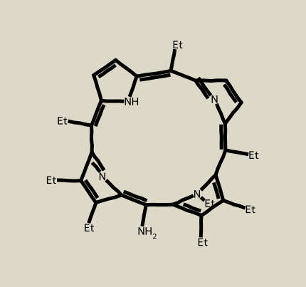 CCC1=C(CC)c2nc1c(CC)c1ccc([nH]1)c(CC)c1nc(c(CC)c3c(CC)c(CC)c(c2N)n3CC)C=C1